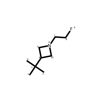 CC(C)(C)C1CN(CCF)C1